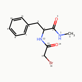 CNC(=O)C(Cc1ccccc1)NC(=O)CBr